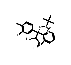 Cc1ccc([C@@](N[S@@+]([O-])C(C)(C)C)(c2ncccc2Br)C(O)CO)cc1F